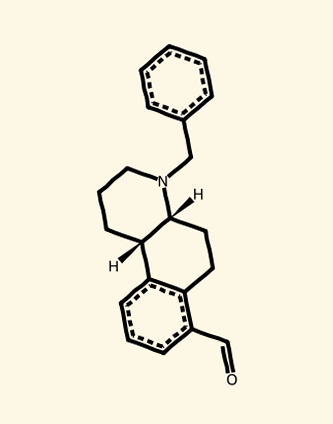 O=Cc1cccc2c1CC[C@@H]1[C@H]2CCCN1Cc1ccccc1